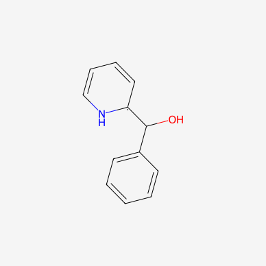 OC([C]1C=CC=CN1)c1ccccc1